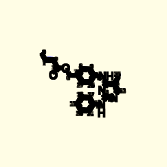 C/C=C/C(=O)OCc1ccc(Nc2nc(Nc3ccccc3)ncc2C)cc1